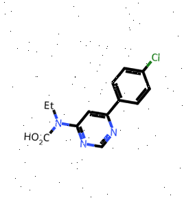 CCN(C(=O)O)c1cc(-c2ccc(Cl)cc2)ncn1